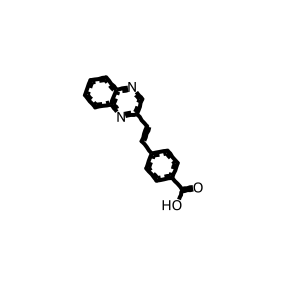 O=C(O)c1ccc(C=Cc2cnc3ccccc3n2)cc1